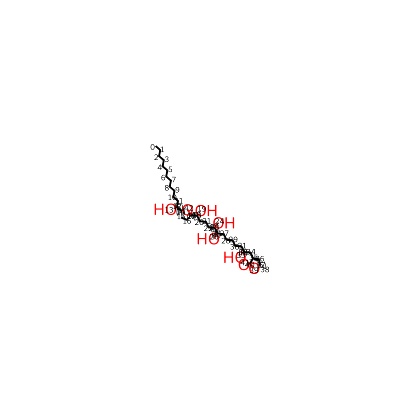 CCCCCCCCCCCC[C@H](O)[C@H]1CC[C@H]([C@H](O)CCC[C@@H](O)[C@H](O)CCCCC[C@@H](O)CC2=C[C@H](C)OC2=O)O1